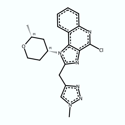 C[C@@H]1C[C@H](n2c(Cc3cn(C)nn3)nc3c(Cl)nc4ccccc4c32)CCO1